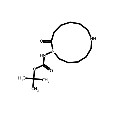 CC(C)(C)OC(=O)NN1CCCCCNCCCCCC1=O